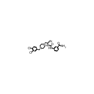 CC(C)C(CN1CCN(Cc2ccc(Cl)c(Cl)c2)CC1)NC(=O)Nc1cccc(C(N)=O)c1